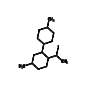 CC1CCC(C2CC(C)CCC2C(C)I)CC1